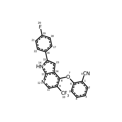 N#Cc1ccccc1Oc1c(C(F)(F)F)cnc2[nH]c(-c3ccc(F)cc3)cc12